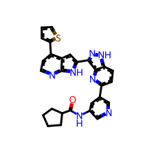 O=C(Nc1cncc(-c2ccc3[nH]nc(-c4cc5c(-c6cccs6)ccnc5[nH]4)c3n2)c1)C1CCCC1